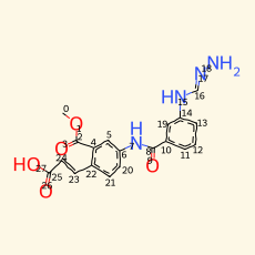 COC(=O)c1cc(NC(=O)c2cccc(NC=NN)c2)ccc1C=CC(=O)O